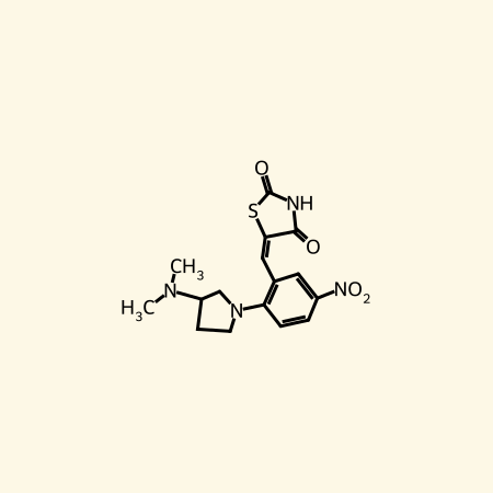 CN(C)C1CCN(c2ccc([N+](=O)[O-])cc2C=C2SC(=O)NC2=O)C1